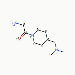 CN(C)CC1CCN(C(=O)CN)CC1